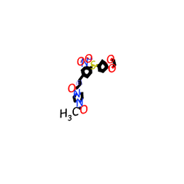 CC(=O)N1CCN(C(=O)/C=C/c2ccc(Sc3ccc4c(c3)OCCO4)c([N+](=O)[O-])c2)CC1